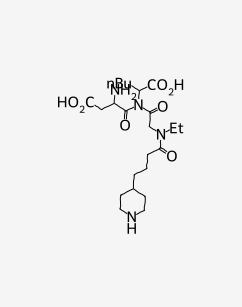 CCCCC(C(=O)O)N(C(=O)CN(CC)C(=O)CCCC1CCNCC1)C(=O)C(N)CC(=O)O